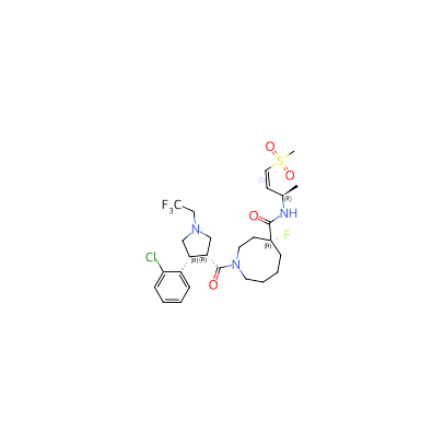 C[C@H](/C=C\S(C)(=O)=O)NC(=O)[C@@]1(F)CCCCN(C(=O)[C@H]2CN(CC(F)(F)F)C[C@H]2c2ccccc2Cl)CC1